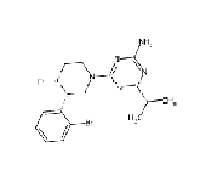 CC(C)c1cc(N2CC[C@@H](F)[C@@H](c3ccccc3Br)C2)nc(N)n1